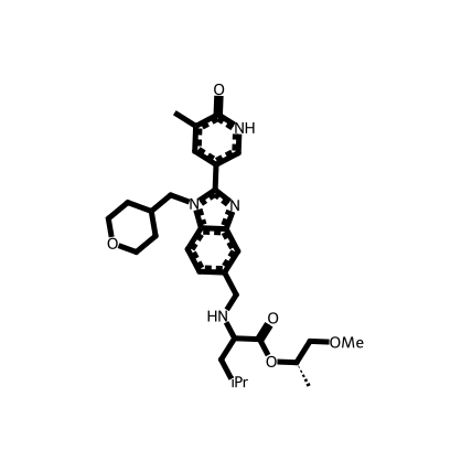 COC[C@H](C)OC(=O)C(CC(C)C)NCc1ccc2c(c1)nc(-c1c[nH]c(=O)c(C)c1)n2CC1CCOCC1